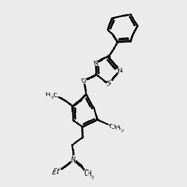 CCN(C)CCc1cc(C)c(Oc2nc(-c3ccccc3)ns2)cc1C